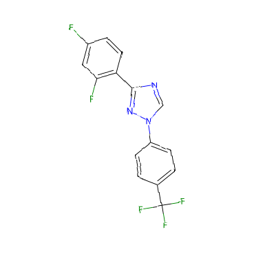 Fc1ccc(-c2ncn(-c3ccc(C(F)(F)F)cc3)n2)c(F)c1